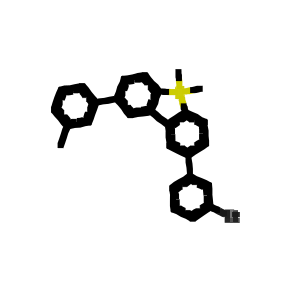 CCc1cccc(-c2ccc3c(c2)-c2cc(-c4cccc(C)c4)ccc2S3(C)C)c1